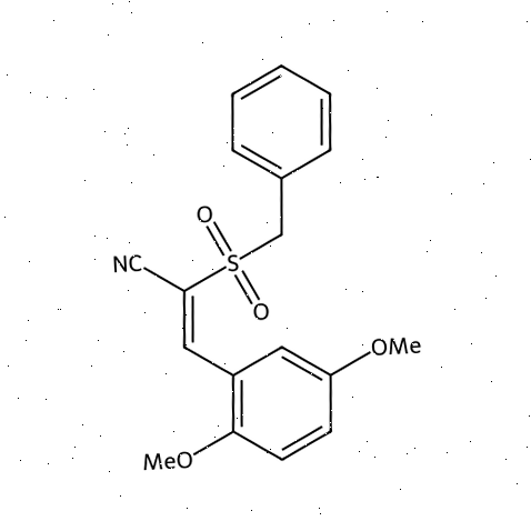 COc1ccc(OC)c(/C=C(/C#N)S(=O)(=O)Cc2ccccc2)c1